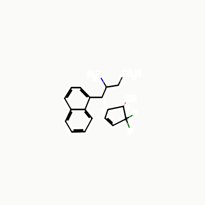 NC(CC(=O)O)C(c1cccc2ccccc12)[C@H]1C=CC(F)(F)[C@@H]1O